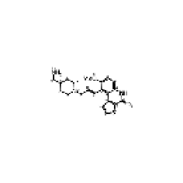 COc1ccc2[nH]c(=O)c3sccc3c2c1C=CCN1CCC(CN)CC1